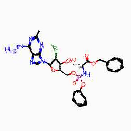 Cc1nc(N)c2ncn(C3OC(COP(=O)(N[C@H](C)C(=O)OCc4ccccc4)Oc4ccccc4)C(O)C3F)c2n1